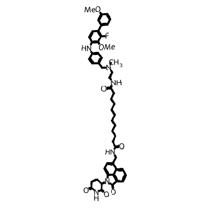 COc1cccc(-c2ccc(Nc3ccc(CN(C)CCNC(=O)CCCCCCCCCCC(=O)NCc4ccc5c6c(cccc46)C(=O)N5C4CCC(=O)NC4=O)cc3)c(OC)c2F)c1